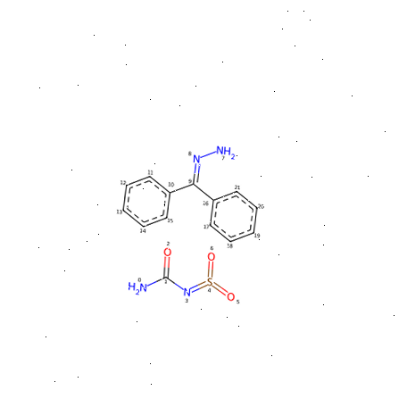 NC(=O)N=S(=O)=O.NN=C(c1ccccc1)c1ccccc1